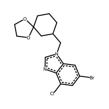 Clc1cc(Br)cc2c1ncn2CC1CCCC2(C1)OCCO2